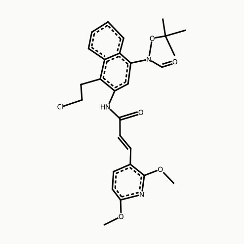 COc1ccc(/C=C/C(=O)Nc2cc(N(C=O)OC(C)(C)C)c3ccccc3c2CCCl)c(OC)n1